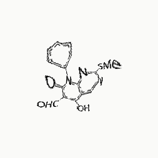 CSc1ncc2c(O)c(C=O)c(=O)n(-c3ccccc3)c2n1